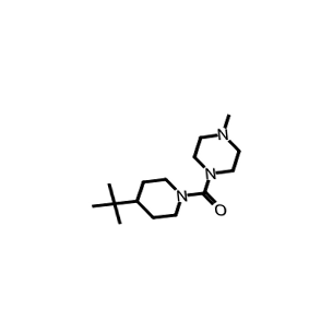 CN1CCN(C(=O)N2CCC(C(C)(C)C)CC2)CC1